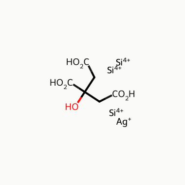 O=C(O)CC(O)(CC(=O)O)C(=O)O.[Ag+].[Si+4].[Si+4].[Si+4]